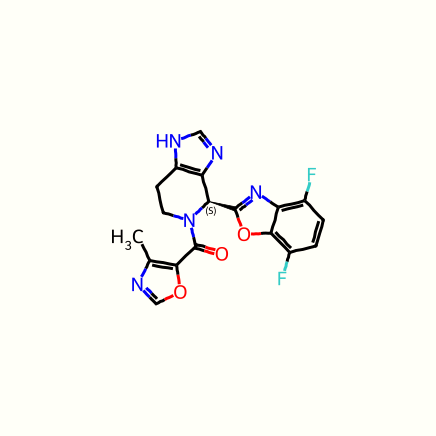 Cc1ncoc1C(=O)N1CCc2[nH]cnc2[C@H]1c1nc2c(F)ccc(F)c2o1